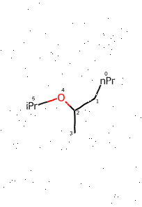 CCCCC(C)OC(C)C